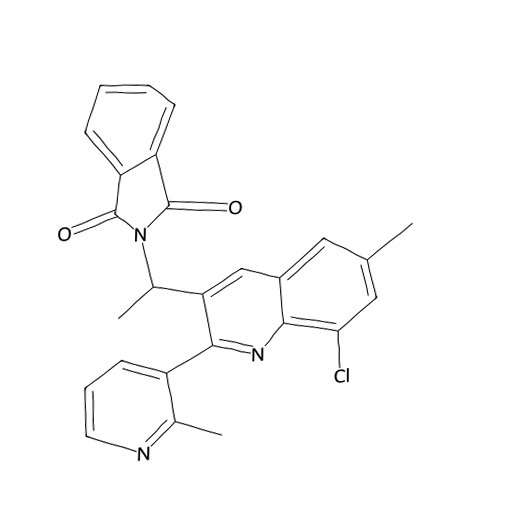 Cc1cc(Cl)c2nc(-c3cccnc3C)c(C(C)N3C(=O)c4ccccc4C3=O)cc2c1